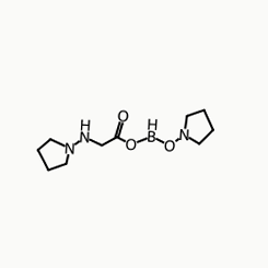 O=C(CNN1CCCC1)OBON1CCCC1